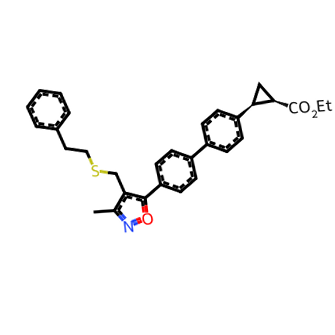 CCOC(=O)[C@@H]1C[C@@H]1c1ccc(-c2ccc(-c3onc(C)c3CSCCc3ccccc3)cc2)cc1